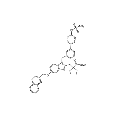 COC(=O)C1(Cc2nc3cc(OCc4ccc5ccccc5n4)ccc3n2Cc2cccc(-c3ccc(NS(C)(=O)=O)cc3)c2)CCCC1